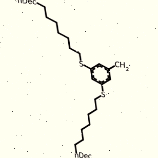 [CH2]c1cc(SCCCCCCCCCCCCCCCCC)cc(SCCCCCCCCCCCCCCCCC)c1